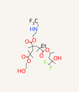 CCC(C)(CC(C)(CC(C)(C)C(=O)OCCO)C(=O)OCCNCC(F)(F)F)C(=O)OC(C)CC(C)(O)C(F)F